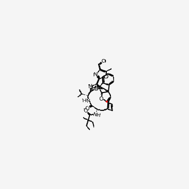 CCC(C)(CC)C(=O)N[C@H]1Cc2ccc3c(c2)C2(c4ccccc4NC2O3)c2oc(nc2-c2nc(C=O)c(C)o2)[C@H](C(C)C)NC1=O